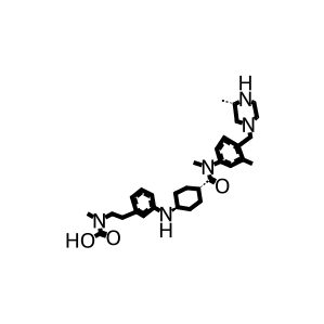 Cc1cc(N(C)C(=O)[C@H]2CC[C@H](Nc3cccc(CCN(C)C(=O)O)c3)CC2)ccc1CN1CCN[C@@H](C)C1